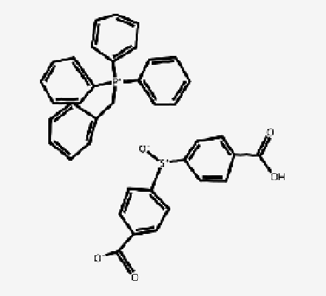 O=C([O-])c1ccc([S+]([O-])c2ccc(C(=O)O)cc2)cc1.c1ccc(C[P+](c2ccccc2)(c2ccccc2)c2ccccc2)cc1